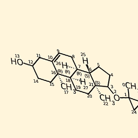 CC1(OC2CC[C@H]3[C@@H]4CC=C5CC(O)CC[C@]5(C)[C@@H]4CC[C@]23C)CC1